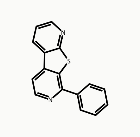 c1ccc(-c2nccc3c2sc2ncccc23)cc1